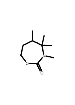 CC1CCOC(=O)N(C)C1(C)C